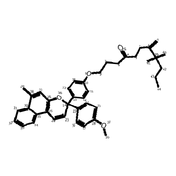 C=C(CCC(=O)CCCOc1ccc(C2(c3ccc(OC)cc3)C=Cc3c(cc(C)c4ccccc34)O2)cc1)C(C)(C)CCC